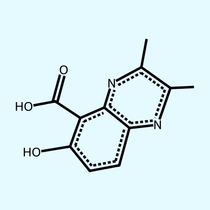 Cc1nc2ccc(O)c(C(=O)O)c2nc1C